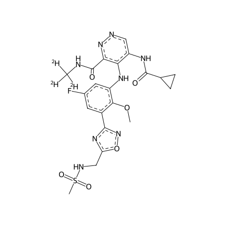 [2H]C([2H])([2H])NC(=O)c1nncc(NC(=O)C2CC2)c1Nc1cc(F)cc(-c2noc(CNS(C)(=O)=O)n2)c1OC